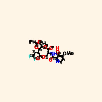 COc1ccnc(C(=O)N[C@H]2COC(=O)[C@H](CC(F)F)[C@@H](OC(=O)C(C)C)[C@H](C)OC2=O)c1O